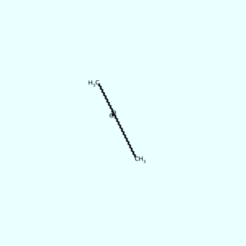 CCCCCCCCCCCCCCCCCCCCCCCCCCCC(=O)OCCCCCCCCCCCCCCCCCCC